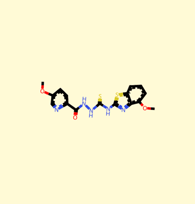 COc1ccc(C(=O)NNC(=S)Nc2nc3c(OC)cccc3s2)nc1